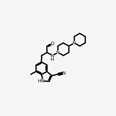 Cc1cc(CC(C=O)NN2CCC(N3CCCCC3)CC2)cc2c(C#N)c[nH]c12